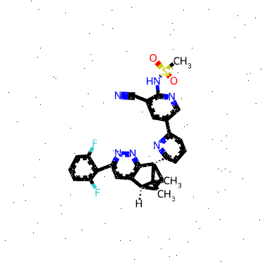 CC1(C)[C@H]2CC[C@]1(c1cccc(-c3cnc(NS(C)(=O)=O)c(C#N)c3)n1)c1nnc(-c3c(F)cccc3F)cc12